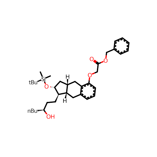 CCCC[C@H](O)CC[C@@H]1[C@H]2Cc3cccc(OCC(=O)OCc4ccccc4)c3C[C@H]2C[C@H]1O[Si](C)(C)C(C)(C)C